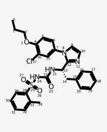 CCCOc1ccc(-n2ccnc2[C@H](Cc2ccccc2)NC(=O)NS(=O)(=O)c2ccccc2C)cc1Cl